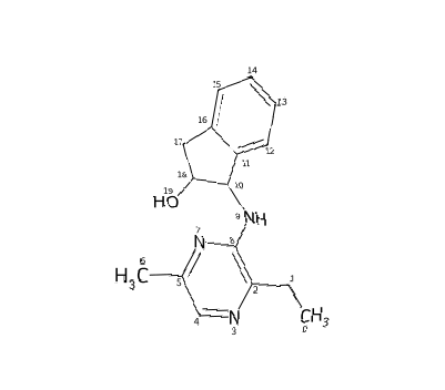 CCc1ncc(C)nc1NC1c2ccccc2CC1O